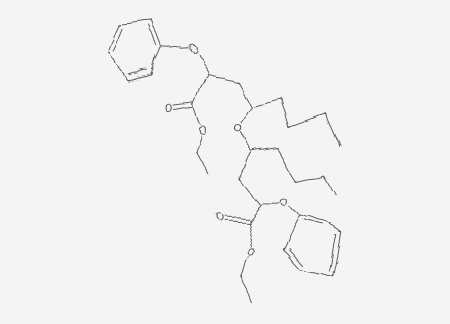 CCCCC(CC(Oc1ccccc1)C(=O)OCC)OC(CCCC)CC(Oc1ccccc1)C(=O)OCC